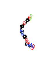 O=[N+]([O-])c1cn2c(n1)O[C@@H](COc1ccc(N3CC4CC3CN4Cc3ccc(OCc4ccc(OC(F)(F)F)cc4)cc3)cc1)CC2